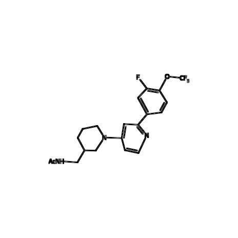 CC(=O)NCC1CCCN(c2ccnc(-c3ccc(OC(F)(F)F)c(F)c3)c2)C1